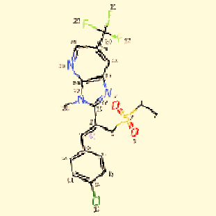 CCS(=O)(=O)C/C(=C\c1ccc(Cl)cc1)c1nc2cc(C(F)(F)F)cnc2n1C